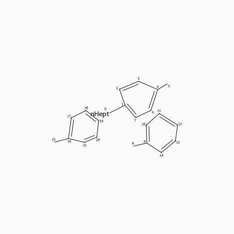 CCCCCCCc1ccc(C)cc1.Cc1ccccc1.Cc1ccccc1